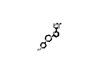 CC(C)N1CCC(N2CCCN(c3cccc(/C(N=N)=N/N(C)C)n3)CC2)CC1